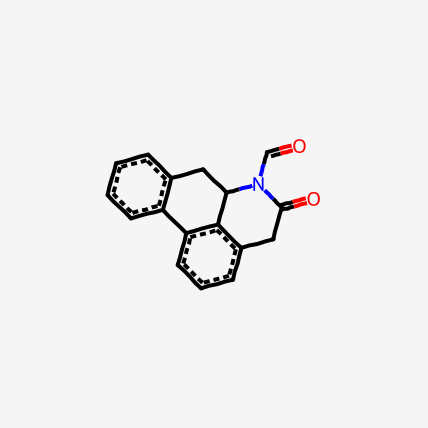 O=CN1C(=O)Cc2cccc3c2C1Cc1ccccc1-3